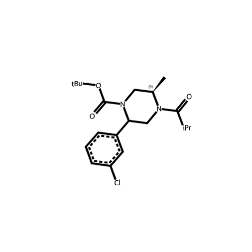 CC(C)C(=O)N1CC(c2cccc(Cl)c2)N(C(=O)OC(C)(C)C)C[C@H]1C